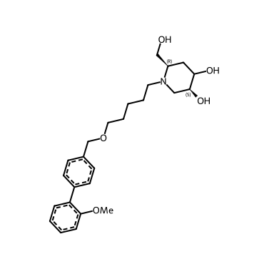 COc1ccccc1-c1ccc(COCCCCCN2C[C@H](O)C(O)C[C@@H]2CO)cc1